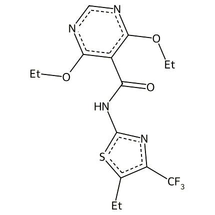 CCOc1ncnc(OCC)c1C(=O)Nc1nc(C(F)(F)F)c(CC)s1